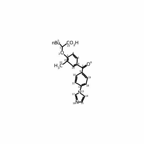 CCCCC(Oc1ccc(C(=O)c2ccc(-n3ccnc3)cc2)cc1C)C(=O)O